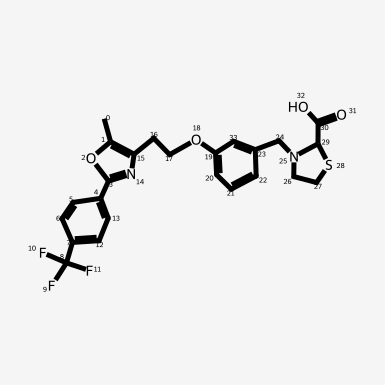 Cc1oc(-c2ccc(C(F)(F)F)cc2)nc1CCOc1cccc(CN2CCSC2C(=O)O)c1